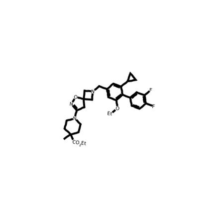 CCOC(=O)C1(C)CCN(C2=NOC3(C2)CN(Cc2cc(OCC)c(-c4ccc(F)c(F)c4)c(C4CC4)c2)C3)CC1